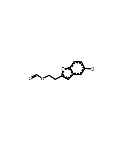 O=COCCc1cc2cc(Cl)ccc2o1